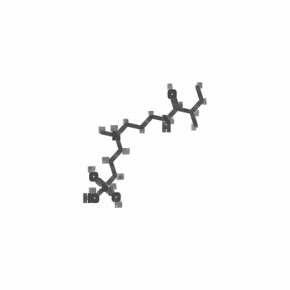 CCC(C)C(=O)NCCCN(C)CCCS(=O)(=O)O